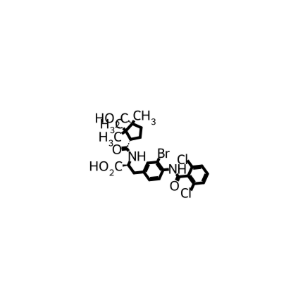 CC1(C)[C@@H](C(=O)N[C@@H](Cc2ccc(NC(=O)c3c(Cl)cccc3Cl)c(Br)c2)C(=O)O)CC[C@@]1(C)C(=O)O